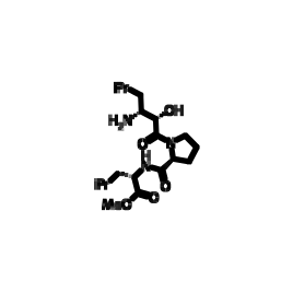 COC(=O)[C@H](CC(C)C)NC(=O)[C@@H]1CCCN1C(=O)[C@@H](O)[C@H](N)CC(C)C